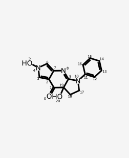 O=C1c2cn(O)cc2N=C2N(c3ccccc3)CCC12O